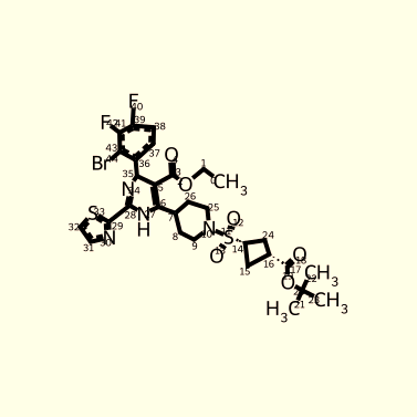 CCOC(=O)C1=C(C2CCN(S(=O)(=O)[C@H]3C[C@@H](C(=O)OC(C)(C)C)C3)CC2)NC(c2nccs2)=NC1c1ccc(F)c(F)c1Br